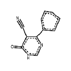 N#Cc1c(-c2ccccc2)nc[nH]c1=O